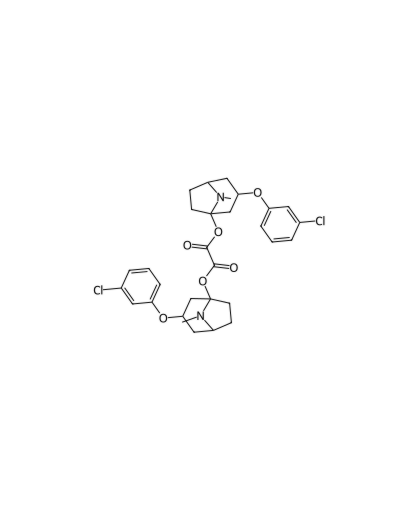 CN1C2CCC1(OC(=O)C(=O)OC13CCC(CC(Oc4cccc(Cl)c4)C1)N3C)CC(Oc1cccc(Cl)c1)C2